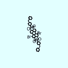 O=C1c2ccc3c4c(Br)cc5c6c(cc(Br)c(c7ccc(c2c37)C(=O)N1c1ccc(Cc2ccccc2)cc1)c64)C(=O)N(c1ccc(Cc2ccccc2)cc1)C5=O